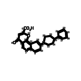 O=C(O)c1cc(=O)c2cnc3ccc(N4CCC(c5ccccc5)CC4)cc3c2o1